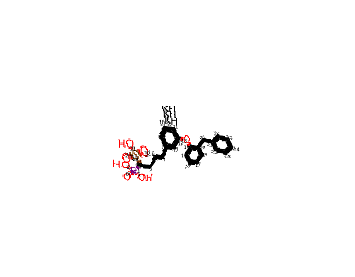 O=P(O)(O)C(CCCc1cccc(Oc2ccccc2Cc2ccccc2)c1)S(=O)(=O)O.[KH].[KH].[KH]